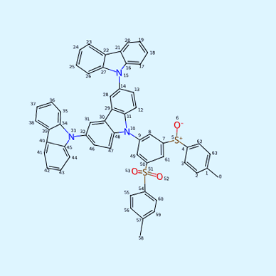 Cc1ccc([S+]([O-])c2cc(-n3c4ccc(-n5c6ccccc6c6ccccc65)cc4c4cc(-n5c6ccccc6c6ccccc65)ccc43)cc(S(=O)(=O)c3ccc(C)cc3)c2)cc1